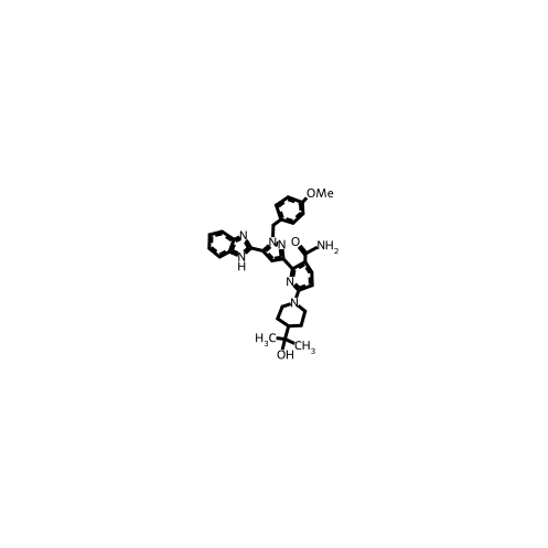 COc1ccc(Cn2nc(-c3nc(N4CCC(C(C)(C)O)CC4)ccc3C(N)=O)cc2-c2nc3ccccc3[nH]2)cc1